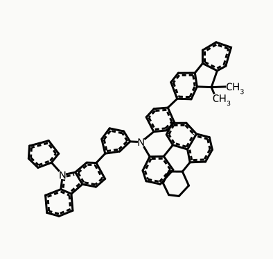 CC1(C)c2ccccc2-c2ccc(-c3ccc(N(c4cccc(-c5ccc6c7ccccc7n(-c7ccccc7)c6c5)c4)c4ccccc4-c4cccc5cccc(C6CCCCC6)c45)cc3)cc21